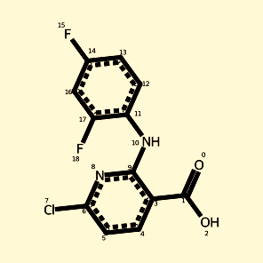 O=C(O)c1ccc(Cl)nc1Nc1ccc(F)cc1F